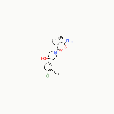 CCCC(C(N)=O)C(CC(C)C)C(=O)N1CCC(O)(c2ccc(Cl)c(C(F)(F)F)c2)CC1